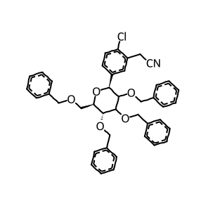 N#CCc1cc([C@@H]2O[C@H](COCc3ccccc3)[C@@H](OCc3ccccc3)C(OCc3ccccc3)C2OCc2ccccc2)ccc1Cl